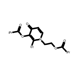 CCc1c(OC(=O)C(C)C)c(=O)ccn1CCOC(=O)C(C)C